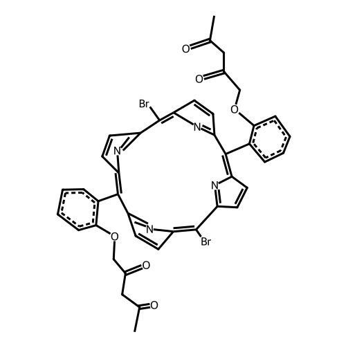 CC(=O)CC(=O)COc1ccccc1C1=C2C=CC(=N2)C(Br)=C2C=CC(=N2)C(c2ccccc2OCC(=O)CC(C)=O)=C2C=CC(=N2)C(Br)=C2C=CC1=N2